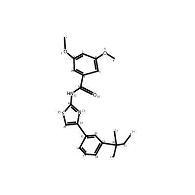 COc1cc(OC)cc(C(=O)Nc2nc(-c3cccc(C(C)(C)CI)c3)cs2)c1